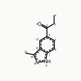 CCC(=O)c1ccc2[nH]nc(C)c2c1